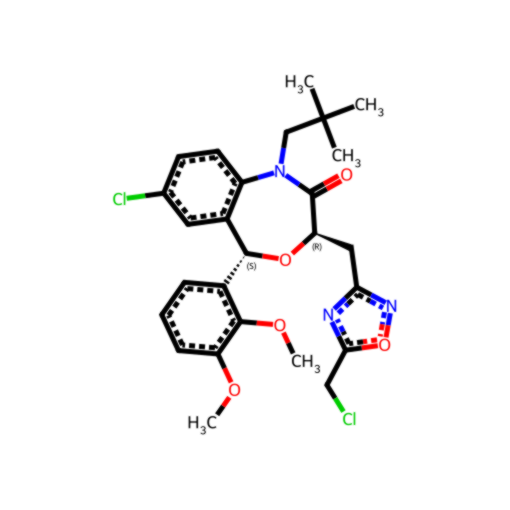 COc1cccc([C@H]2O[C@H](Cc3noc(CCl)n3)C(=O)N(CC(C)(C)C)c3ccc(Cl)cc32)c1OC